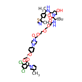 CC1=CN(CC[C@]2(c3ccc(Cl)cc3Cl)OC[C@H](COc3ccc(N4CCN(C(=O)COCCOCCOCC(=O)NC(C(=O)N5C[C@H](O)CC5C(=O)NC(C)c5ccc(-c6scnc6C)cc5)C(C)(C)C)CC4)cc3)O2)C=CC1